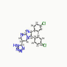 Clc1ccc(-c2nc3ncc(-c4nnn[nH]4)cn3c2-c2ccc(Cl)cc2)cc1